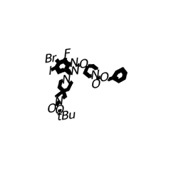 CC(C)(C)OC(=O)N1CC2(CCN(c3nc(OC4CCN(C(=O)OCc5ccccc5)CC4)nc4c(F)c(Br)c(I)cc34)CC2)C1